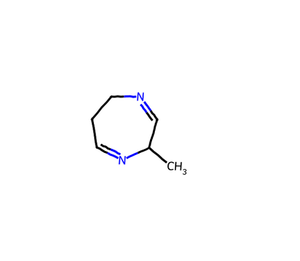 CC1C=NCCC=N1